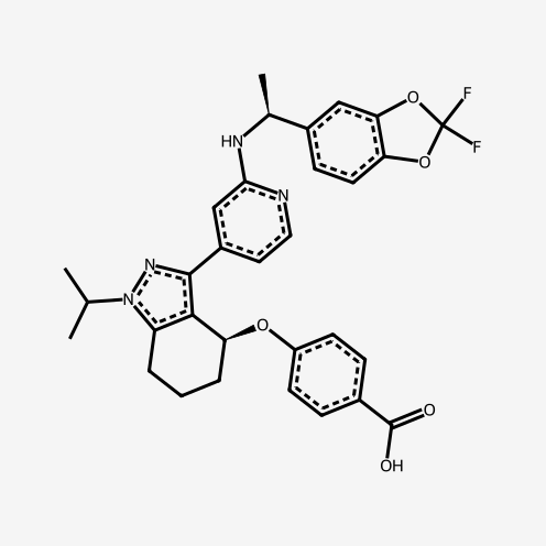 CC(C)n1nc(-c2ccnc(N[C@@H](C)c3ccc4c(c3)OC(F)(F)O4)c2)c2c1CCC[C@@H]2Oc1ccc(C(=O)O)cc1